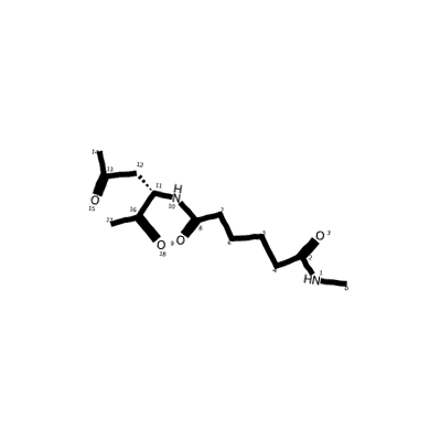 CNC(=O)CCCCC(=O)N[C@@H](CC(C)=O)C(C)=O